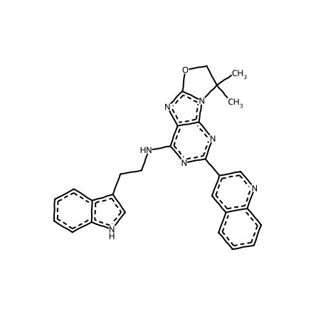 CC1(C)COc2nc3c(NCCc4c[nH]c5ccccc45)nc(-c4cnc5ccccc5c4)nc3n21